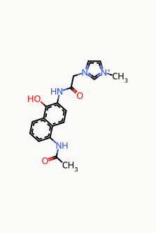 CC(=O)Nc1cccc2c(O)c(NC(=O)Cn3cc[n+](C)c3)ccc12